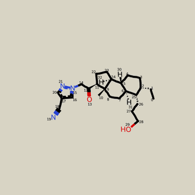 CC[C@H]1CC[C@@H]2[C@H](CC[C@]3(C)[C@@H](C(=O)Cn4cc(C#N)cn4)CC[C@@H]23)[C@H]1CCCO